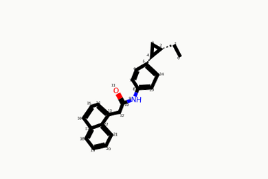 CC[C@H]1C[C@H]1c1ccc(NC(=O)Cc2cccc3ccccc23)cc1